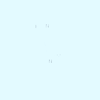 O=C(c1csc(-c2ccnc(F)c2)c1)N1CCCC2CCCC=C21